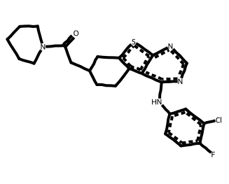 O=C(CC1CCc2c(sc3ncnc(Nc4ccc(F)c(Cl)c4)c23)C1)N1CCCCC1